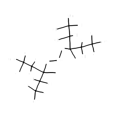 CCCC(Cl)(Cl)C(Cl)(Cl)C(C)(OPOC(C)(C(Cl)(Cl)C(Cl)(Cl)CCC)C(Cl)(Cl)C(Cl)(Cl)CCC)C(Cl)(Cl)C(Cl)(Cl)CCC